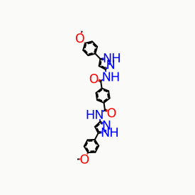 COc1ccc(-c2cc(NC(=O)c3ccc(C(=O)Nc4cc(-c5ccc(OC)cc5)[nH]n4)cc3)n[nH]2)cc1